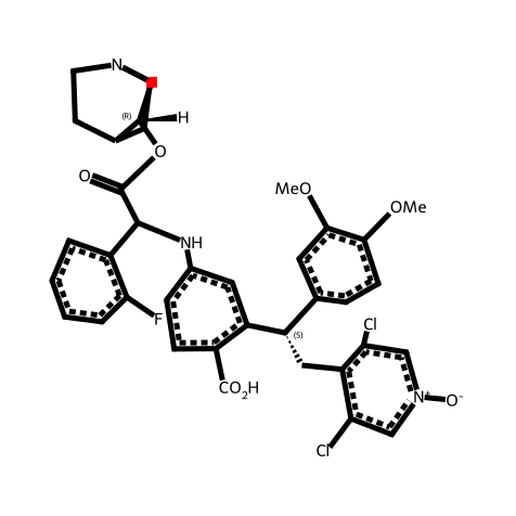 COc1ccc([C@H](Cc2c(Cl)c[n+]([O-])cc2Cl)c2cc(NC(C(=O)O[C@H]3CN4CCC3CC4)c3ccccc3F)ccc2C(=O)O)cc1OC